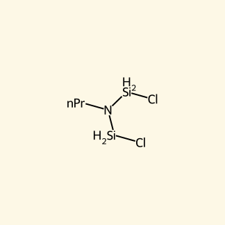 CCCN([SiH2]Cl)[SiH2]Cl